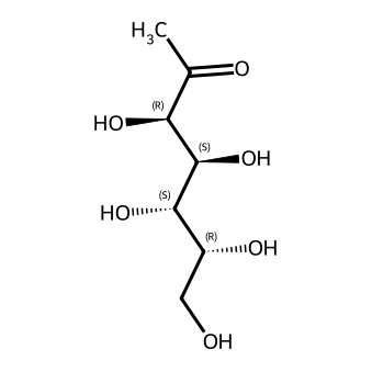 CC(=O)[C@H](O)[C@@H](O)[C@@H](O)[C@H](O)CO